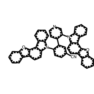 N#Cc1ccc(-n2c3ccccc3c3c4oc5ccccc5c4ccc32)c(-c2ccncc2-n2c3ccccc3c3c4oc5ccccc5c4ccc32)c1